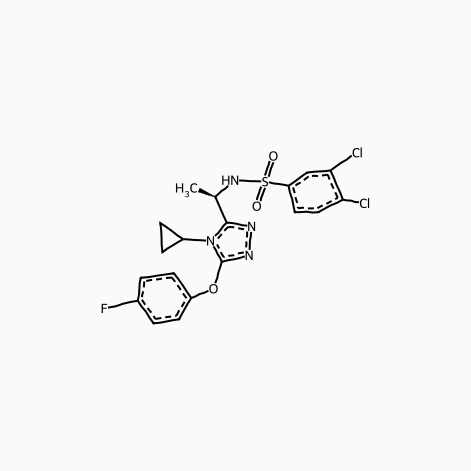 C[C@@H](NS(=O)(=O)c1ccc(Cl)c(Cl)c1)c1nnc(Oc2ccc(F)cc2)n1C1CC1